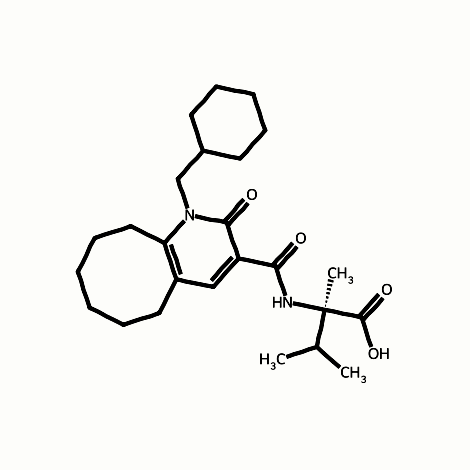 CC(C)[C@@](C)(NC(=O)c1cc2c(n(CC3CCCCC3)c1=O)CCCCCC2)C(=O)O